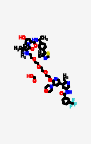 Cc1ncc(NC(=O)c2cccc(C(F)(F)F)c2)cc1-c1cnc(OCCOCCOCCOCCNC(C(=O)N2C[C@H](O)C[C@H]2C(=O)NC(C)c2ccc(-c3scnc3C)cc2)C(C)(C)C)c(N2CCOCC2)c1.O=CO